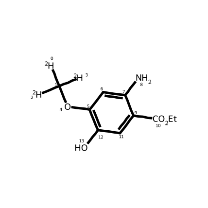 [2H]C([2H])([2H])Oc1cc(N)c(C(=O)OCC)cc1O